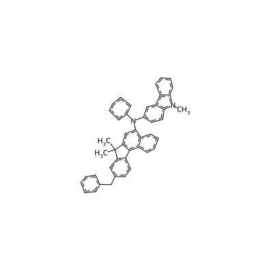 Cn1c2ccccc2c2cc(N(c3ccccc3)c3cc4c(c5ccccc35)-c3ccc(Cc5ccccc5)cc3C4(C)C)ccc21